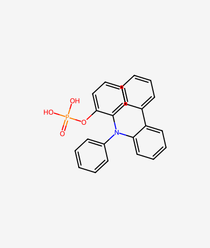 O=P(O)(O)Oc1ccccc1N(c1ccccc1)c1ccccc1-c1ccccc1